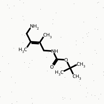 CC(CN)=C(C)CNC(=O)OC(C)(C)C